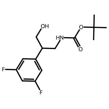 CC(C)(C)OC(=O)NCC(CO)c1cc(F)cc(F)c1